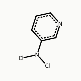 ClN(Cl)c1cccnc1